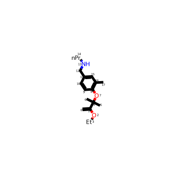 C=C(OCC)C(C)(C)Oc1ccc(CNCCC)cc1C